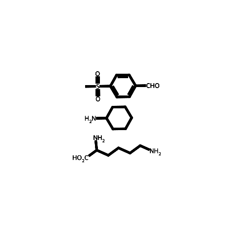 CS(=O)(=O)c1ccc(C=O)cc1.NC1CCCCC1.NCCCCC(N)C(=O)O